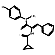 CN(C(=O)/C(=C/c1ccccc1)NC(=O)C1CC1)c1ccc(Br)cc1